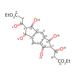 CCOC(=O)CC(=O)C1C(=O)c2cc3c(cc2C1=O)C(=O)C(C(=O)CC(=O)OCC)C3=O